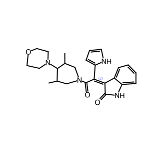 CC1CN(C(=O)/C(=C2\C(=O)Nc3ccccc32)c2ccc[nH]2)CC(C)C1N1CCOCC1